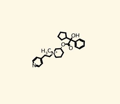 C[N+]1(CCc2ccncc2)CCC[C@@H](OC(=O)C(O)(c2ccccc2)C2CCCC2)C1